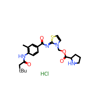 Cc1cc(C(=O)N=c2sccn2COC(=O)C2CCCN2)ccc1NC(=O)CC(C)(C)C.Cl